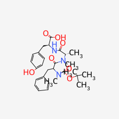 C[C@@H](C(=O)N[C@@H](Cc1ccc(O)cc1)C(=O)O)N(C)C(=O)C(Cc1ccccc1)N(C)C(=O)OC(C)(C)C